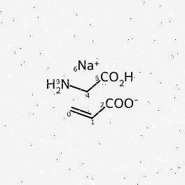 C=CC(=O)[O-].NCC(=O)O.[Na+]